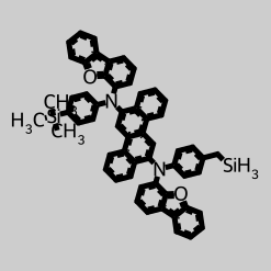 C[Si](C)(C)c1ccc(N(c2cc3c4ccccc4c(N(c4ccc(C[SiH3])cc4)c4cccc5c4oc4ccccc45)cc3c3ccccc23)c2cccc3c2oc2ccccc23)cc1